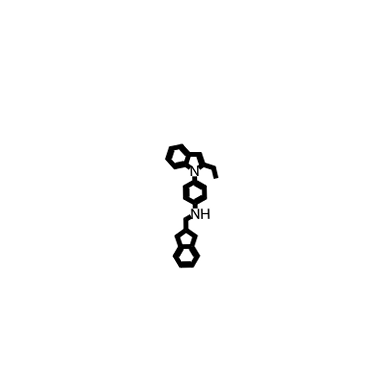 CCc1cc2ccccc2n1-c1ccc(NCC2Cc3ccccc3C2)cc1